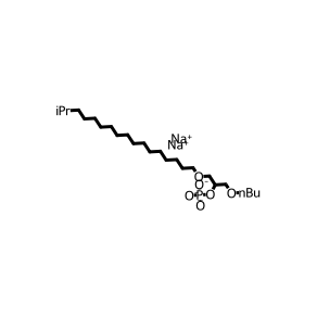 CCCCOCC(COCCCCCCCCCCCCCCCC(C)C)OP(=O)([O-])[O-].[Na+].[Na+]